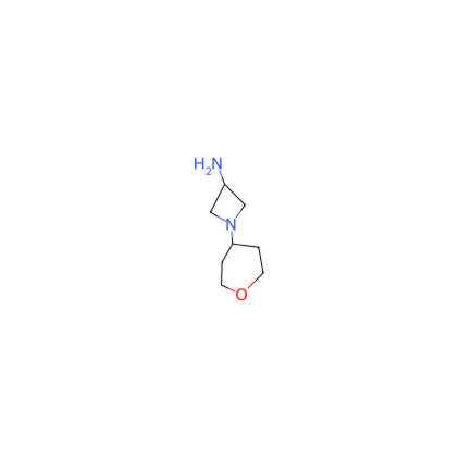 NC1CN(C2CCOCC2)C1